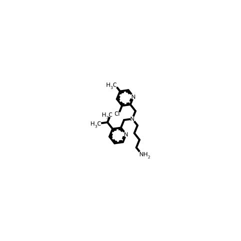 Cc1cnc(CN(CCCCN)Cc2ncccc2C(C)C)c(Cl)c1